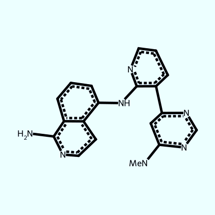 CNc1cc(-c2cccnc2Nc2cccc3c(N)nccc23)ncn1